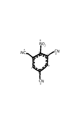 N#Cc1cc(C#N)c([N+](=O)[O-])c(C#N)c1